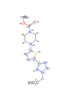 CCOC(=O)Cn1nnc(-c2nnc(N3CCN(C(=O)OC(C)(C)C)CC3)s2)n1